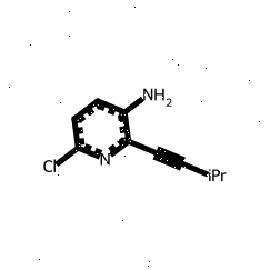 CC(C)C#Cc1nc(Cl)ccc1N